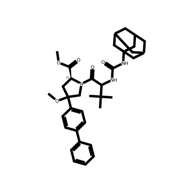 COC(=O)[C@@H]1CC(OC)(c2ccc(-c3ccccc3)cc2)CN1C(=O)C(NC(=O)NC12CC3CC(CC(C3)C1)C2)C(C)(C)C